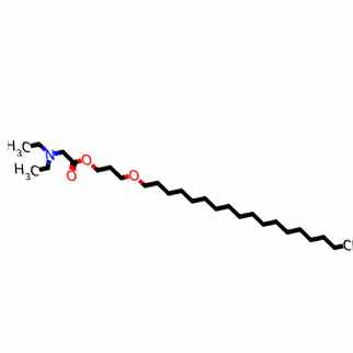 CCCCCCCCCCCCCCCCCCOCCCOC(=O)CN(CC)CC